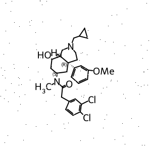 COc1cccc([C@@]23CCN(CC4CC4)C[C@H]2C(O)C[C@@H](N(C)C(=O)Cc2ccc(Cl)c(Cl)c2)C3)c1